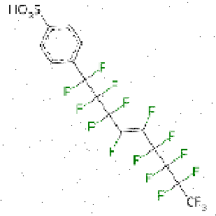 O=S(=O)(O)c1ccc(C(F)(F)C(F)(F)C(F)(F)C(F)=C(F)C(F)(F)C(F)(F)C(F)(F)C(F)(F)F)cc1